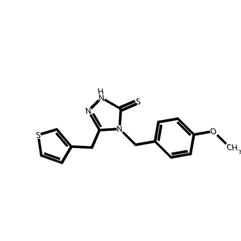 COc1ccc(Cn2c(Cc3ccsc3)n[nH]c2=S)cc1